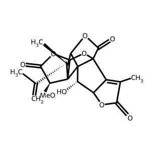 C=C(C)[C@@H]1[C@@H](C)C2OC(=O)C34OC5OC(=O)[C@H](OC)C51C23[C@@H](O)C1OC(=O)C(C)=C14